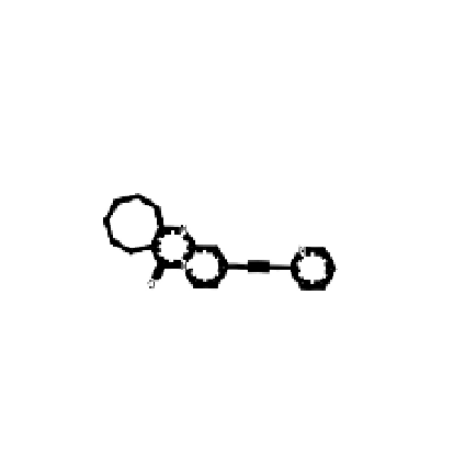 O=c1c2c(nc3cc(C#Cc4ccccn4)ccn13)CCCCCC2